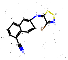 N#Cc1cccc2cc(N=c3ssnc3Br)ccc12